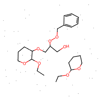 CCOC1CCCCO1.CCOC1OCCCC1OCC(CO)OOCc1ccccc1